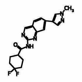 Cn1cc(-c2ccc3cnc(NC(=O)C4CCC(F)(F)CC4)nc3c2)cn1